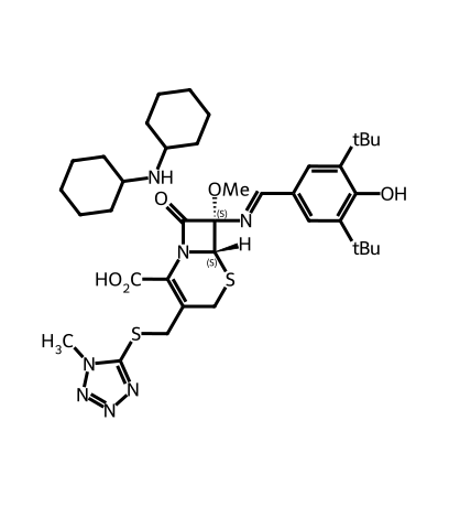 C1CCC(NC2CCCCC2)CC1.CO[C@@]1(N=Cc2cc(C(C)(C)C)c(O)c(C(C)(C)C)c2)C(=O)N2C(C(=O)O)=C(CSc3nnnn3C)CS[C@H]21